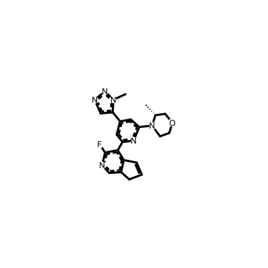 C[C@@H]1COCCN1c1cc(-c2cnnn2C)cc(-c2c(F)ncc3c2C=CC3)n1